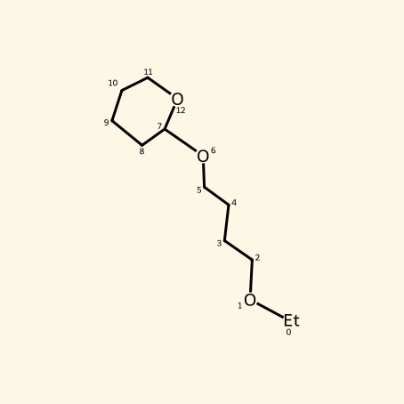 CCOCCCCOC1CCCCO1